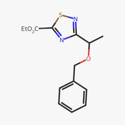 CCOC(=O)c1nc(C(C)OCc2ccccc2)ns1